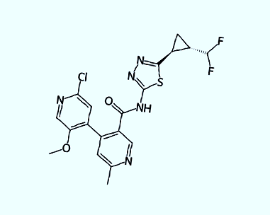 COc1cnc(Cl)cc1-c1cc(C)ncc1C(=O)Nc1nnc([C@H]2C[C@@H]2C(F)F)s1